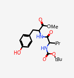 COC(=O)C(Cc1ccc(O)cc1)NC(=O)C(NC(=O)OC(C)(C)C)C(C)C